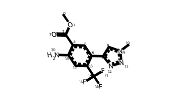 COC(=O)c1cc(-c2cn(C)nn2)c(C(F)(F)F)cc1N